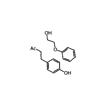 CC(=O)CCc1ccc(O)cc1.OCCOc1ccccc1